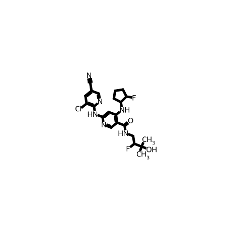 CC(C)(O)C(F)CNC(=O)c1cnc(Nc2ncc(C#N)cc2Cl)cc1NC1CCCC1F